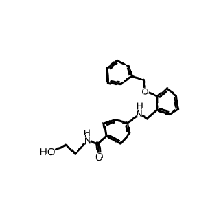 O=C(NCCO)c1ccc(NCc2ccccc2OCc2ccccc2)cc1